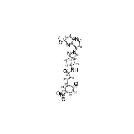 COc1ccc2nccc(-n3cc4c(n3)CCC(NC(=O)C=Cc3cc([N+](=O)[O-])ccc3Cl)C4)c2n1